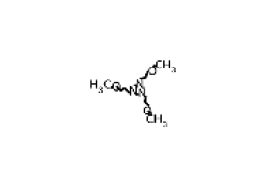 CCOCCCN1CN(CCCOCC)CN(CCCOCC)C1